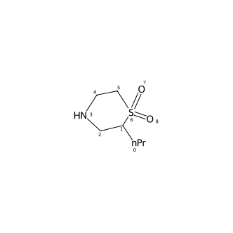 [CH2]CCC1CNCCS1(=O)=O